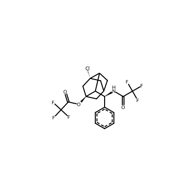 O=C(N[C@@H](c1ccccc1)C1C2CC3C[C@@]2(Cl)C[C@@]1(OC(=O)C(F)(F)F)C3)C(F)(F)F